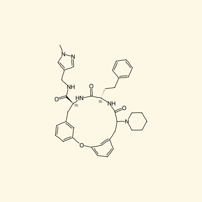 Cn1cc(CNC(=O)[C@@H]2Cc3cccc(c3)Oc3cccc(c3)CC(N3CCCCC3)C(=O)N[C@@H](CCc3ccccc3)C(=O)N2)cn1